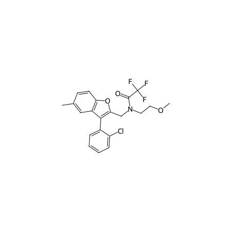 COCCN(Cc1oc2ccc(C)cc2c1-c1ccccc1Cl)C(=O)C(F)(F)F